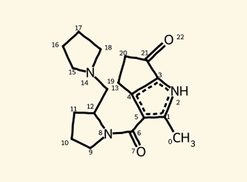 Cc1[nH]c2c(c1C(=O)N1CCCC1CN1CCCC1)CCC2=O